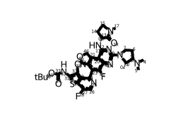 C[C@H]1[C@@H](N(C)C)CCN1c1nc(N[C@@H]2CCN(C)C2=O)c2c3c(c(-c4ncc(F)c5sc(NC(=O)OC(C)(C)C)c(C#N)c45)c(F)c2n1)COC3